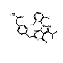 CC(C)c1[nH]n(-c2c(Cl)cccc2Cl)c2nc(Cc3ccc(CC(=O)O)cc3)nc(=O)c1-2